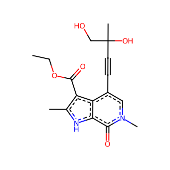 CCOC(=O)c1c(C)[nH]c2c(=O)n(C)cc(C#CC(C)(O)CO)c12